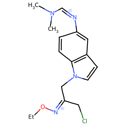 CCO/N=C(/CCl)Cn1ccc2cc(/N=C\N(C)C)ccc21